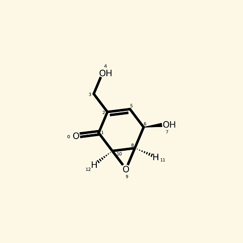 O=C1C(CO)=C[C@@H](O)[C@H]2O[C@@H]12